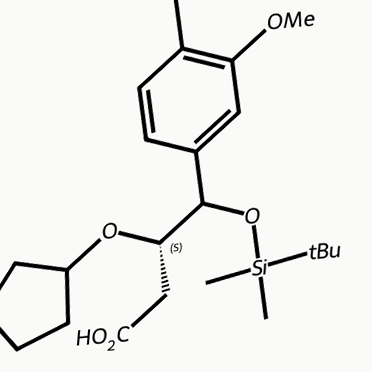 COc1cc(C(O[Si](C)(C)C(C)(C)C)[C@H](CC(=O)O)OC2CCCC2)ccc1C